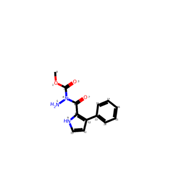 COC(=O)N(N)C(=O)c1[nH]ccc1-c1ccccc1